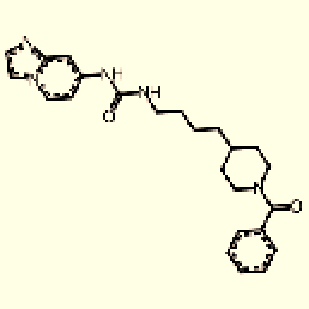 O=C(NCCCCC1CCN(C(=O)c2ccccc2)CC1)Nc1ccn2ccnc2c1